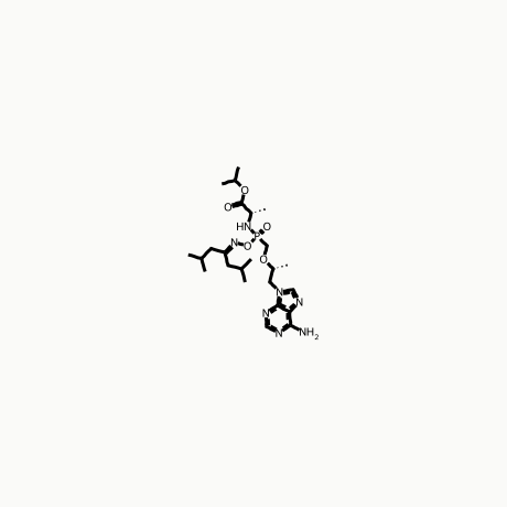 CC(C)CC(CC(C)C)=NOP(=O)(CO[C@H](C)Cn1cnc2c(N)ncnc21)N[C@@H](C)C(=O)OC(C)C